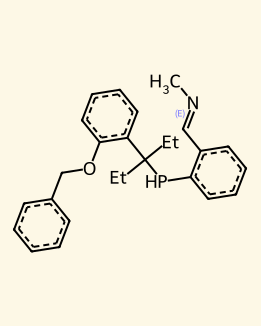 CCC(CC)(Pc1ccccc1/C=N/C)c1ccccc1OCc1ccccc1